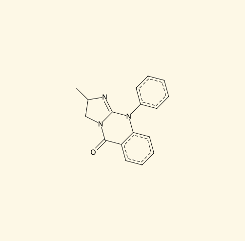 CC1CN2C(=O)c3ccccc3N(c3ccccc3)C2=N1